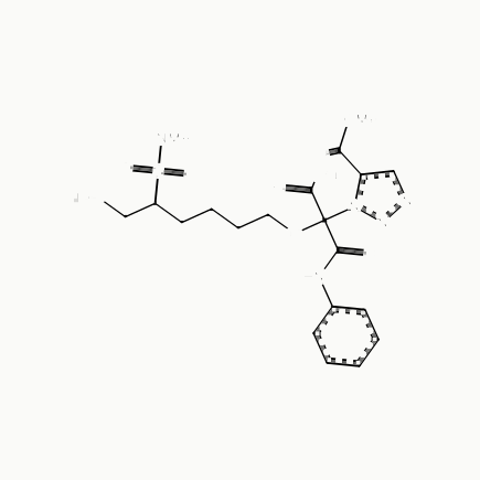 CCCCCCCCCCCC(CCCCOC(C(=O)Nc1ccccc1)(C(=O)C(C)(C)C)n1nncc1C(=O)OC)S(=O)(=O)NC